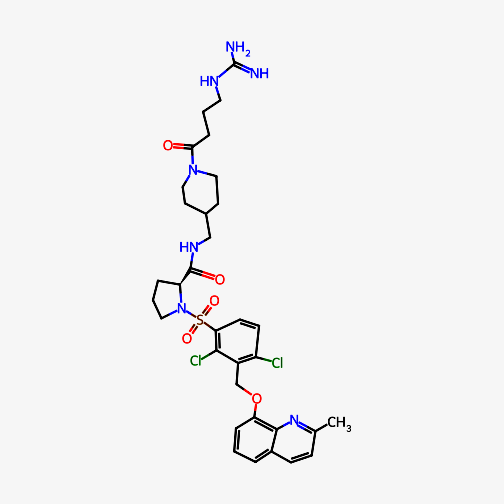 Cc1ccc2cccc(OCc3c(Cl)ccc(S(=O)(=O)N4CCC[C@H]4C(=O)NCC4CCN(C(=O)CCCNC(=N)N)CC4)c3Cl)c2n1